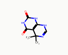 O=c1[nH]c2c(c(=O)[nH]1)C(C(F)(F)F)(C(F)(F)F)N=CN2